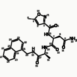 Cc1cc(C(=O)N[C@@H](CC(N)=O)C(=O)N[C@@H](C)C(=O)NCc2cccc3ccccc23)no1